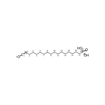 O=C=NCCCCCCCCCCCCCCCP(=O)(O)O